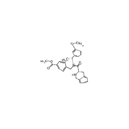 COC(=O)c1ccc(CN(C(=O)C2Cc3ccccc3CN2)[C@H](C)c2cccc(OC)c2)cc1